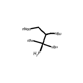 CCCCCCCCCCC(CCCC)C(P)(CCCC)CCCC